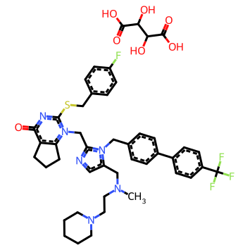 CN(CCN1CCCCC1)Cc1cnc(Cn2c(SCc3ccc(F)cc3)nc(=O)c3c2CCC3)n1Cc1ccc(-c2ccc(C(F)(F)F)cc2)cc1.O=C(O)C(O)C(O)C(=O)O